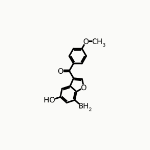 Bc1cc(O)cc2c(C(=O)c3ccc(OC)cc3)coc12